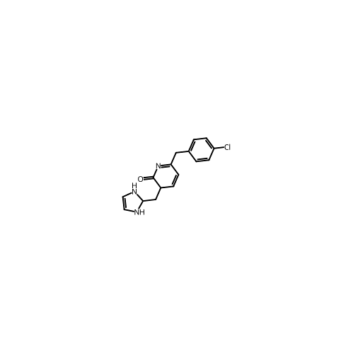 O=C1N=C(Cc2ccc(Cl)cc2)C=CC1CC1NC=CN1